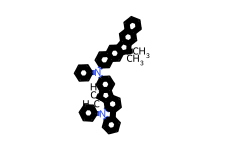 CC1(C)c2cc3ccccc3cc2-c2cc3ccc(N(c4ccccc4)c4ccc5c(c4)C(C)(C)c4c-5ccc5c6ccccc6n(-c6ccccc6)c45)cc3cc21